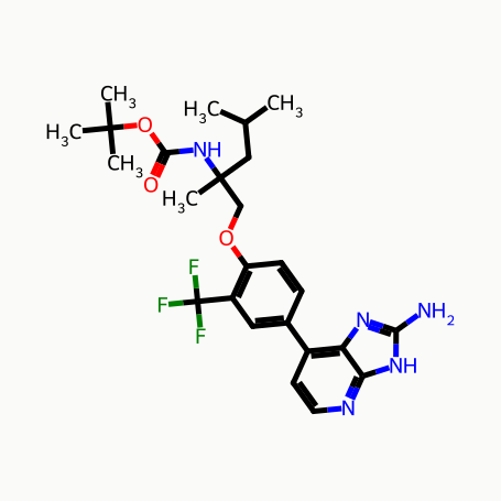 CC(C)CC(C)(COc1ccc(-c2ccnc3[nH]c(N)nc23)cc1C(F)(F)F)NC(=O)OC(C)(C)C